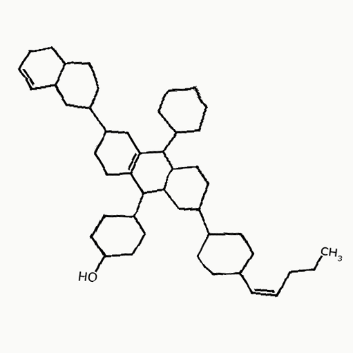 CCC/C=C\C1CCC(C2CCC3C(C2)C(C2CCC(O)CC2)C2=C(CC(C4CCC5CCC=CC5C4)CC2)C3C2CCCCC2)CC1